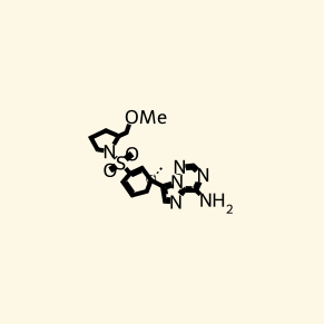 COCC1CCCN1S(=O)(=O)C1=C[C@@](C)(c2cnc3c(N)ncnn23)CC=C1